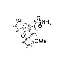 COc1cccc2c1-c1ccc(CS(N)(=O)=O)cc1C(C1CCCCC1)O2